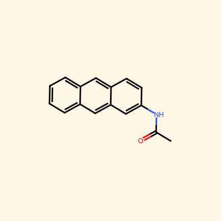 CC(=O)Nc1ccc2cc3ccccc3cc2c1